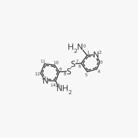 Nc1ncccc1SSc1cccnc1N